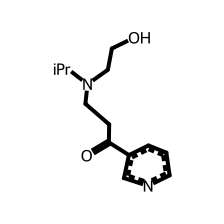 CC(C)N(CCO)CCC(=O)c1cccnc1